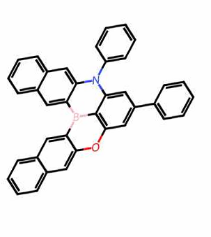 c1ccc(-c2cc3c4c(c2)N(c2ccccc2)c2cc5ccccc5cc2B4c2cc4ccccc4cc2O3)cc1